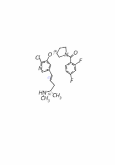 CN[C@@H](C)C/C=C/c1cnc(Cl)c(O[C@@H]2CCN(C(=O)c3ccc(F)cc3F)C2)c1